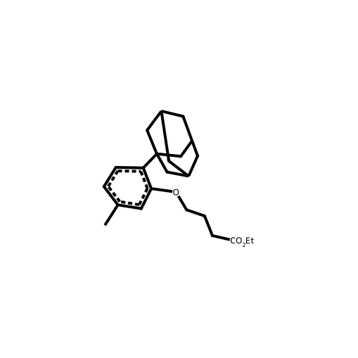 CCOC(=O)CCCOc1cc(C)ccc1C12CC3CC(CC(C3)C1)C2